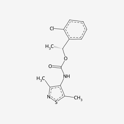 Cc1nsc(C)c1NC(=O)O[C@H](C)c1ccccc1Cl